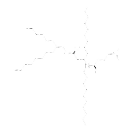 CCCCCCCCCCN(C(=O)CCCN(C)C)C(CCCCCCCCC)CC(=O)OCC(CCCCCC)CCCCCCCC